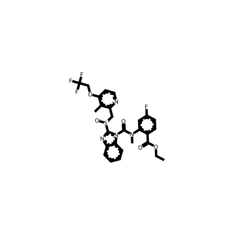 CCOC(=O)c1ccc(F)cc1N(C)C(=O)n1c([S+]([O-])Cc2nccc(OCC(F)(F)F)c2C)nc2ccccc21